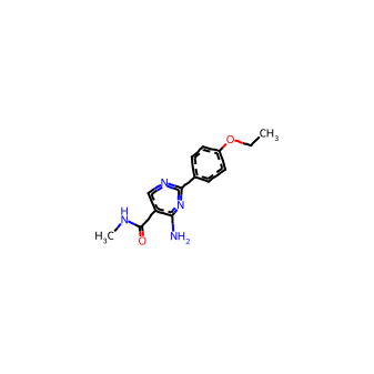 CCOc1ccc(-c2ncc(C(=O)NC)c(N)n2)cc1